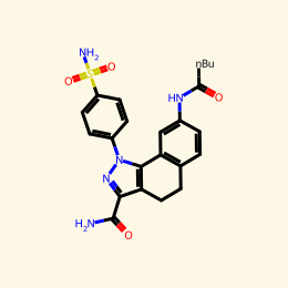 CCCCC(=O)Nc1ccc2c(c1)-c1c(c(C(N)=O)nn1-c1ccc(S(N)(=O)=O)cc1)CC2